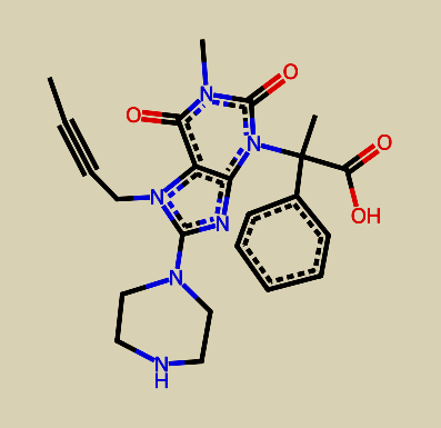 CC#CCn1c(N2CCNCC2)nc2c1c(=O)n(C)c(=O)n2C(C)(C(=O)O)c1ccccc1